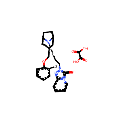 Cc1ccccc1OCC1CC2CCC(C1)N2CCCCn1nc2ccccn2c1=O.O=C(O)C(=O)O